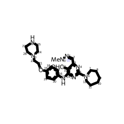 CN/N=C\c1nc(N2CCCCCC2)nc(Nc2ccc(OCCN3CCNCC3)cc2)c1C=O